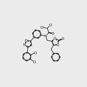 O=C(C(Cl)Cl)N(Cc1oc(=O)oc1Cc1ccccc1)c1cccc(-c2cc(-c3cccc(Cl)c3Cl)no2)c1